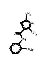 COc1ccccc1NC(=O)c1cc(C)[nH]c1C